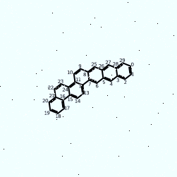 c1ccc2cc3cc4c(ccc5c4ccc4c6ccccc6ccc45)cc3cc2c1